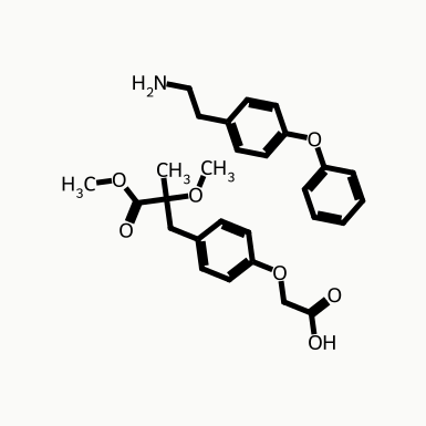 COC(=O)C(C)(Cc1ccc(OCC(=O)O)cc1)OC.NCCc1ccc(Oc2ccccc2)cc1